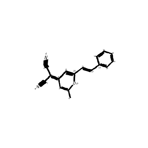 CC1=CC(=C(C#N)C#N)C=C(/C=C/c2ccccc2)O1